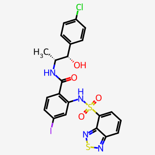 C[C@@H](NC(=O)c1ccc(I)cc1NS(=O)(=O)c1cccc2nsnc12)[C@@H](O)c1ccc(Cl)cc1